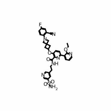 CCOc1ncccc1-c1ccc(OC2CC3(C2)CN(c2ccc(F)cc2C#N)C3)c(C(=O)NCCc2cncc(S(N)(=O)=O)c2)n1